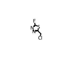 Fc1nnc(CCl)s1